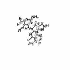 N#Cc1c(NC(c2nc3cccc(C(F)F)c3c(=O)n2-c2cc[nH]n2)C2CC2)nc(N)nc1C(F)F